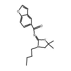 CCCCN1CC(C)(C)S/C1=N\C(=O)c1ccc2occc2c1